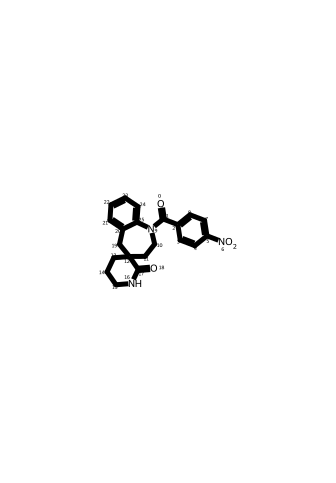 O=C(c1ccc([N+](=O)[O-])cc1)N1CCC2(CCCNC2=O)Cc2ccccc21